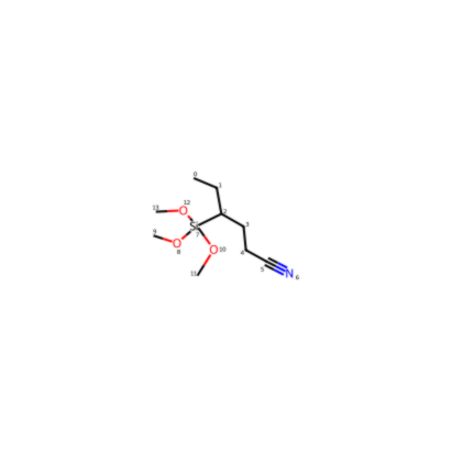 CCC(CCC#N)[Si](OC)(OC)OC